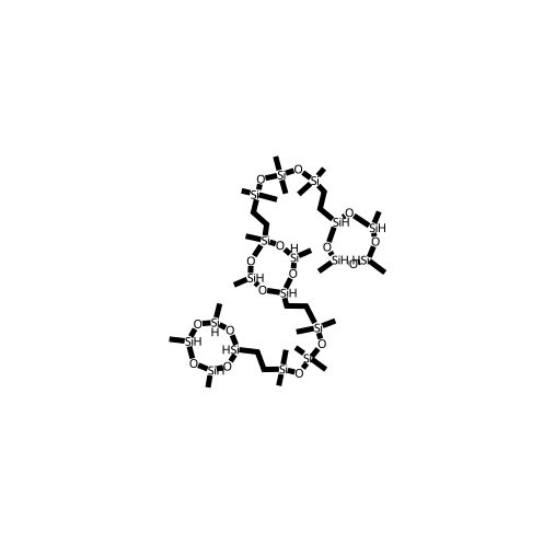 C[SiH]1O[SiH](C)O[SiH](CC[Si](C)(C)O[Si](C)(C)O[Si](C)(C)CC[SiH]2O[SiH](C)O[Si](C)(CC[Si](C)(C)O[Si](C)(C)O[Si](C)(C)CC[SiH]3O[SiH](C)O[SiH](C)O[SiH](C)O3)O[SiH](C)O2)O[SiH](C)O1